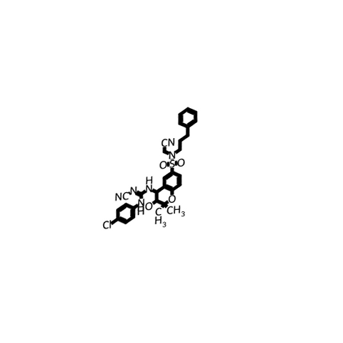 CC1(C)Oc2ccc(S(=O)(=O)N(CC#N)CCCc3ccccc3)cc2C(NC(=NC#N)Nc2ccc(Cl)cc2)C1O